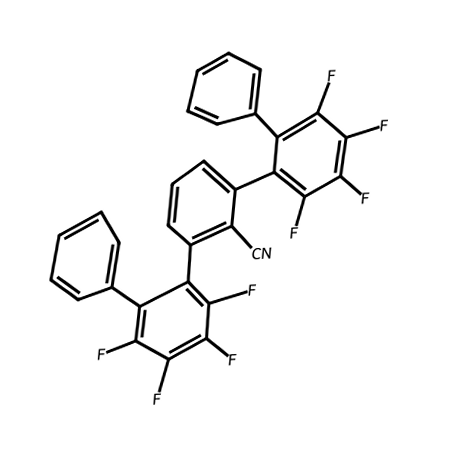 N#Cc1c(-c2c(F)c(F)c(F)c(F)c2-c2ccccc2)cccc1-c1c(F)c(F)c(F)c(F)c1-c1ccccc1